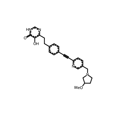 COC1CCN(Cc2ccc(C#Cc3ccc(CCc4nc[nH]c(=O)c4O)cc3)nc2)C1